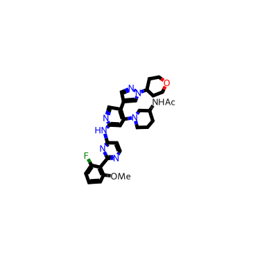 COc1cccc(F)c1-c1nccc(Nc2cc(N3CCCC(NC(C)=O)C3)c(-c3cnn(C4CCOCC4)c3)cn2)n1